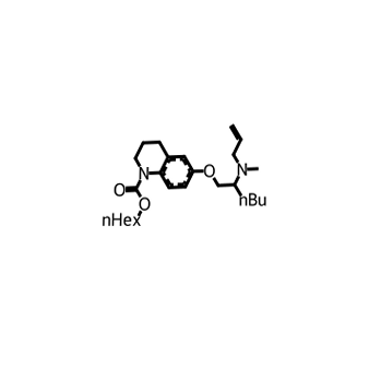 C=CCN(C)C(CCCC)COc1ccc2c(c1)CCCN2C(=O)OCCCCCC